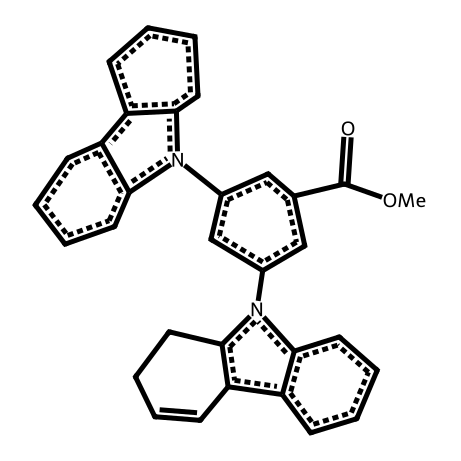 COC(=O)c1cc(-n2c3c(c4ccccc42)C=CCC3)cc(-n2c3ccccc3c3ccccc32)c1